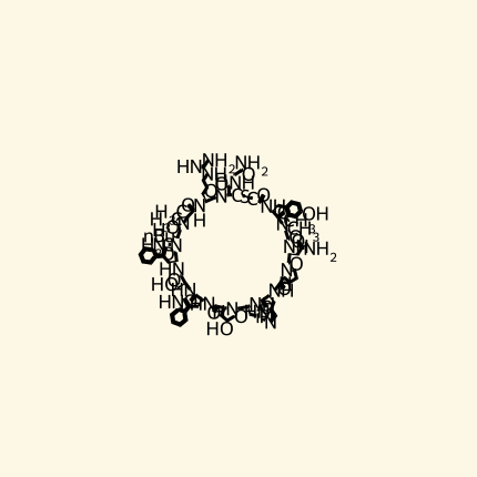 CCCC[C@H]1C(=O)N(C)[C@@H](C)C(=O)N[C@@H](CCCNC(=N)N)C(=O)NC(C(=O)NCC(N)=O)CSCC(=O)N[C@@H](Cc2ccc(O)cc2)C(=O)N(C)[C@@H](C)C(=O)N[C@@H](CC(N)=O)C(=O)N2CCC[C@H]2C(=O)N[C@@H](Cc2cnc[nH]2)C(=O)N[C@@H](CC(C)C)C(=O)N2C[C@H](O)C[C@H]2C(=O)N[C@@H](Cc2c[nH]c3ccccc23)C(=O)N[C@@H](CO)C(=O)N[C@@H](Cc2c[nH]c3ccccc23)C(=O)N1C